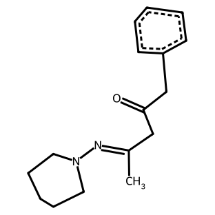 CC(CC(=O)Cc1ccccc1)=NN1CCCCC1